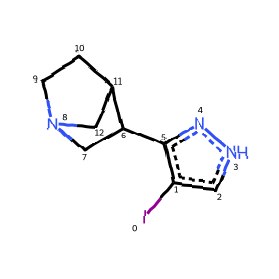 Ic1c[nH]nc1C1CN2CCC1C2